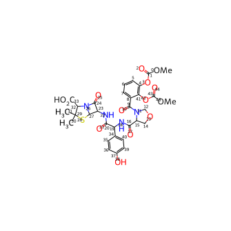 COC(=O)Oc1cccc(C(=O)N2COCC2C(=O)NC(C(=O)NC2C(=O)N3C2SC(C)(C)C3C(=O)O)c2ccc(O)cc2)c1OC(=O)OC